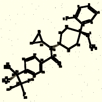 CO[C@]1(c2ccccc2F)CC[C@@H](N(C(=O)c2ccc([C@](C)(O)C(F)(F)F)cc2)C2CC2)CC1